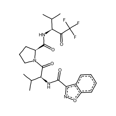 CC(C)[C@H](NC(=O)c1noc2ccccc12)C(=O)N1CCC[C@H]1C(=O)N[C@H](C(=O)C(F)(F)F)C(C)C